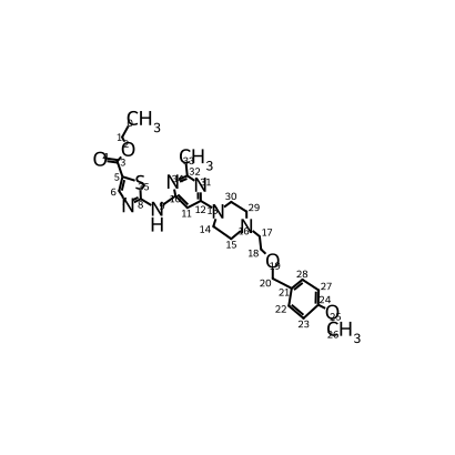 CCOC(=O)c1cnc(Nc2cc(N3CCN(CCOCc4ccc(OC)cc4)CC3)nc(C)n2)s1